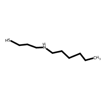 CCCCCCNCCCS